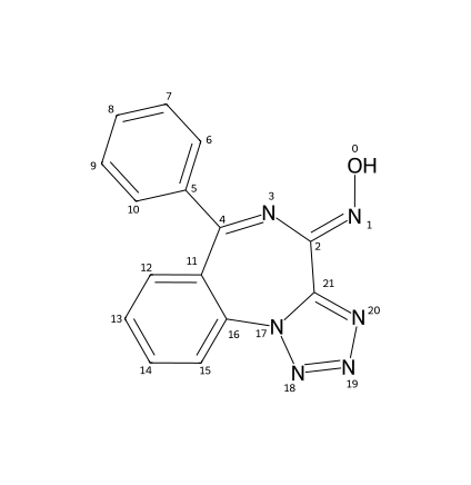 ON=c1nc(-c2ccccc2)c2ccccc2n2nnnc12